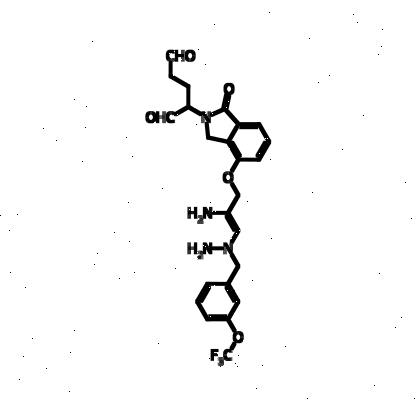 N/C(=C\N(N)Cc1cccc(OC(F)(F)F)c1)COc1cccc2c1CN(C(C=O)CCC=O)C2=O